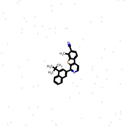 Cc1c(C#N)ccc2c1sc1c(-c3cc(C(C)(C)C)c4ccccc4c3)nccc12